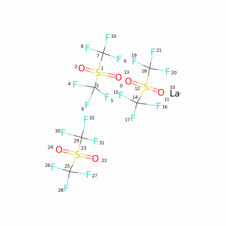 O=S(=O)(C(F)(F)F)C(F)(F)F.O=S(=O)(C(F)(F)F)C(F)(F)F.O=S(=O)(C(F)(F)F)C(F)(F)F.[La]